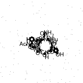 CC[C@H](C)[C@@H]1NC(=O)[C@H](Cc2ccc(O)cc2)NC(=O)CNC(=O)CC[C@@H](C(=O)N(C)CC(=O)N[C@H](C(=O)NCC(C)=O)C2CCCCC2)NC(=O)[C@H](CC(N)=O)NC(=O)[C@H](CCC(N)=O)NC1=O